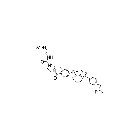 CNCCNC(=O)N1CCN(C(=O)c2ccc(Nc3nccn4c(-c5ccc(OC(F)F)cc5)cnc34)cc2C)CC1